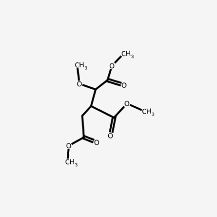 COC(=O)CC(C(=O)OC)C(OC)C(=O)OC